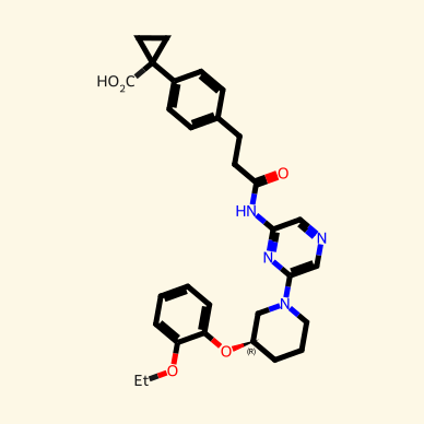 CCOc1ccccc1O[C@@H]1CCCN(c2cncc(NC(=O)CCc3ccc(C4(C(=O)O)CC4)cc3)n2)C1